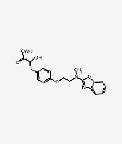 COC(=O)C(O)Cc1ccc(OCCN(C)c2nc3ccccc3o2)cc1